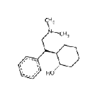 CN(C)CC(c1ccccc1)[C@H]1CCCC[C@@H]1O